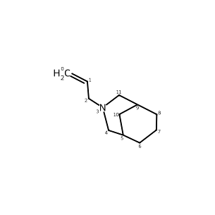 C=CCN1CC2CCCC(C2)C1